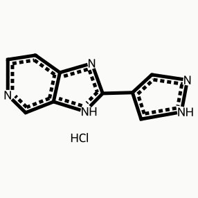 Cl.c1cc2nc(-c3cn[nH]c3)[nH]c2cn1